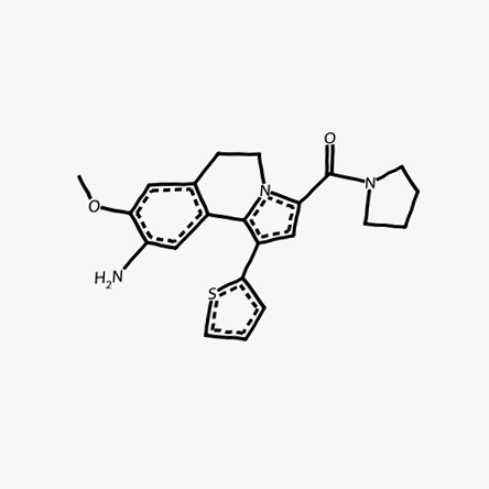 COc1cc2c(cc1N)-c1c(-c3cccs3)cc(C(=O)N3CCCC3)n1CC2